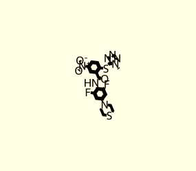 Cn1nnnc1Sc1ccc([N+](=O)[O-])cc1C(=O)Nc1c(F)cc(N2CCSCC2)cc1F